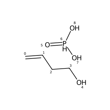 C=CCCO.O=[PH](O)O